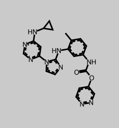 Cc1ccc(NC(=O)Oc2ccnnc2)cc1Nc1nccn1-c1cc(NC2CC2)ncn1